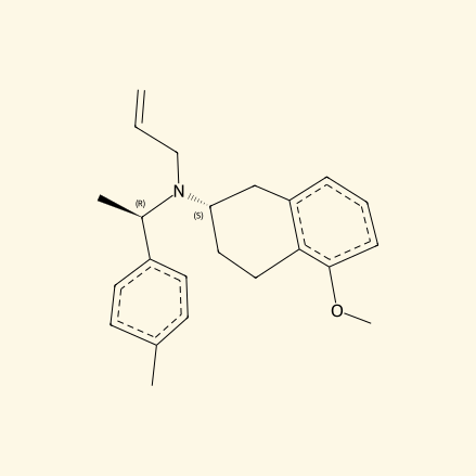 C=CCN([C@H]1CCc2c(cccc2OC)C1)[C@H](C)c1ccc(C)cc1